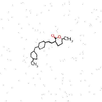 CC1CCC(CC2CCC(CCC3CCC(C)OC3=O)CC2)CC1